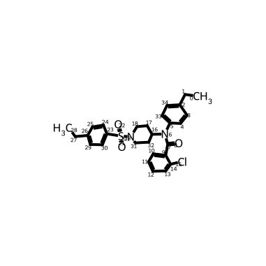 CCc1ccc(N(C(=O)c2ccccc2Cl)C2CCN(S(=O)(=O)c3ccc(CC)cc3)CC2)cc1